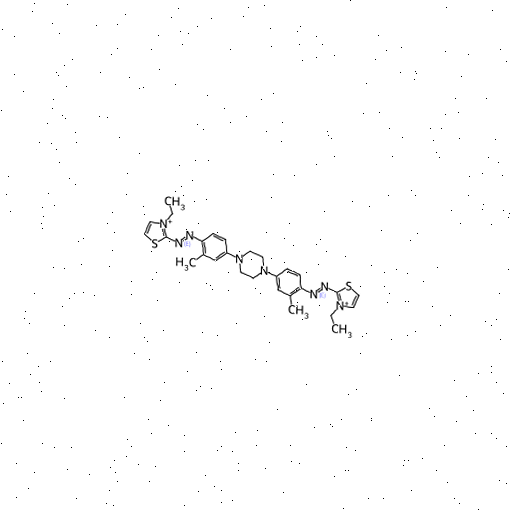 CC[n+]1ccsc1/N=N/c1ccc(N2CCN(c3ccc(/N=N/c4scc[n+]4CC)c(C)c3)CC2)cc1C